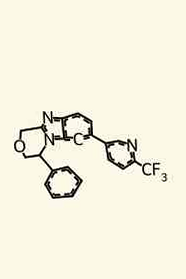 FC(F)(F)c1ccc(-c2ccc3nc4n(c3c2)C(c2ccccc2)COC4)cn1